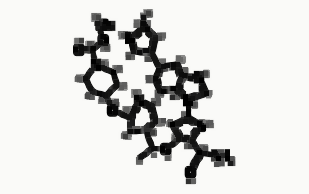 CC(Oc1cc(-n2cnc3cc(-c4cnn(C)c4)ccc32)sc1C(N)=O)c1ccnc(OC2CCN(C(=O)OC(C)(C)C)CC2)c1